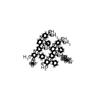 Cc1cc2nc3cc(-c4ccc5nc6ccc(N(C)C)cc6[n+](-c6ccccc6)c5c4)c(N(C)C)cc3n(-c3ccccc3)c-2cc1=O.Cc1cc2nc3cc(-c4ccc5nc6ccc(N(C)C)cc6[n+](-c6ccccc6)c5c4)c(N(C)C)cc3n(-c3ccccc3)c-2cc1=O.O=S(=O)(O)O.O=S(=O)([O-])[O-].O=S(=O)([O-])[O-].[H+].[H+]